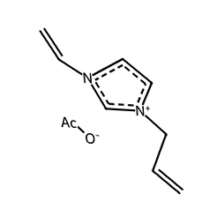 C=CC[n+]1ccn(C=C)c1.CC(=O)[O-]